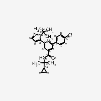 CC(C)(NC(=O)c1cc(-c2ccc(Cl)cc2)nc(-c2ccnn2C(C)(C)C)c1)C1CC1